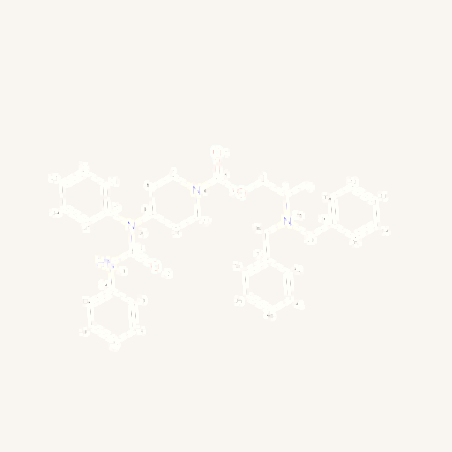 CC(COC(=O)N1CCC(N(C(=O)Nc2ccccc2)c2ccccc2)CC1)N(Cc1ccccc1)Cc1ccccc1